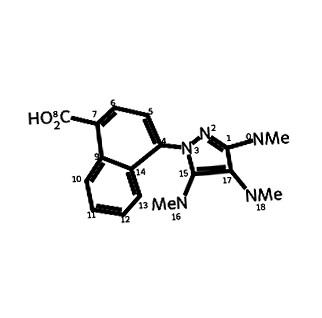 CNc1nn(-c2ccc(C(=O)O)c3ccccc23)c(NC)c1NC